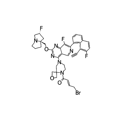 C#Cc1c(F)ccc2cccc(-c3ncc4c(N5CCN(C(=O)/C=C/CBr)C6(COC6)C5)nc(OC[C@@]56CCCN5C[C@H](F)C6)nc4c3F)c12